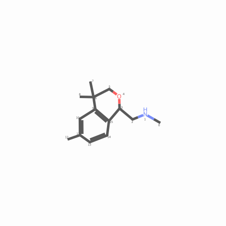 CNCC1OCC(C)(C)c2cc(C)ccc21